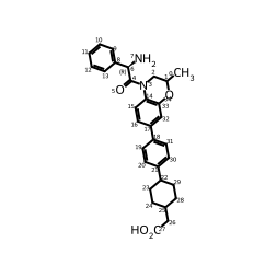 CC1CN(C(=O)[C@H](N)c2ccccc2)c2ccc(-c3ccc(C4CCC(CC(=O)O)CC4)cc3)cc2O1